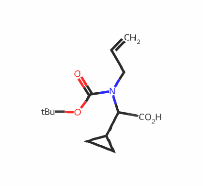 C=CCN(C(=O)OC(C)(C)C)C(C(=O)O)C1CC1